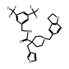 O=C(NCc1cc(C(F)(F)F)cc(C(F)(F)F)c1)C1(Cc2ccsc2)CCN(Cc2ccc3c(c2)CCO3)CC1